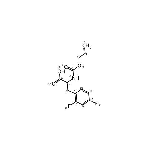 C=CCOC(=O)NC(Cc1ccc(F)cc1F)C(=O)O